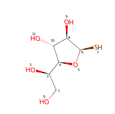 OC[C@@H](O)[C@@H]1O[C@H](S)[C@H](O)[C@H]1O